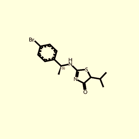 CC(C)C1SC(N[C@@H](C)c2ccc(Br)cc2)=NC1=O